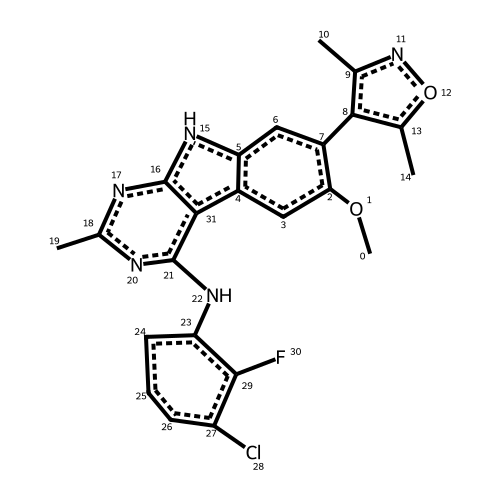 COc1cc2c(cc1-c1c(C)noc1C)[nH]c1nc(C)nc(Nc3cccc(Cl)c3F)c12